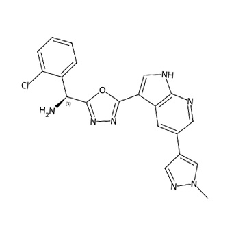 Cn1cc(-c2cnc3[nH]cc(-c4nnc([C@@H](N)c5ccccc5Cl)o4)c3c2)cn1